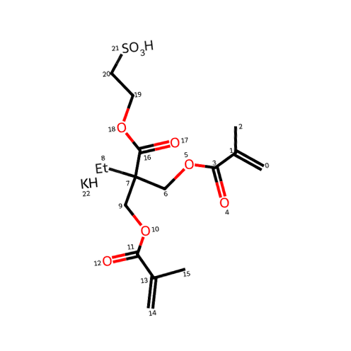 C=C(C)C(=O)OCC(CC)(COC(=O)C(=C)C)C(=O)OCCS(=O)(=O)O.[KH]